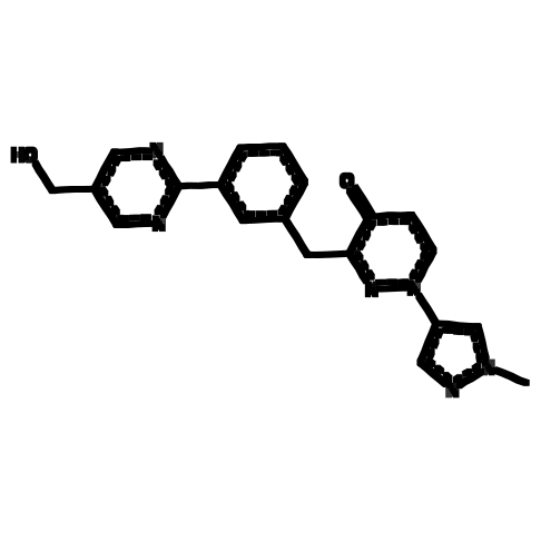 Cn1cc(-n2ccc(=O)c(Cc3cccc(-c4ncc(CO)cn4)c3)n2)cn1